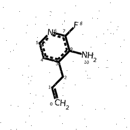 C=CCc1ccnc(F)c1N